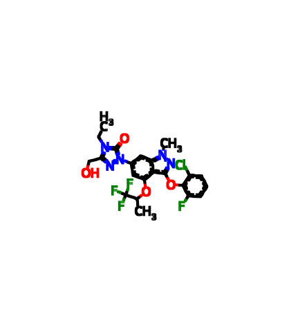 CCn1c(CO)nn(-c2cc(OC(C)C(F)(F)F)c3c(Oc4c(F)cccc4Cl)nn(C)c3c2)c1=O